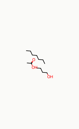 CC(=O)O.CCCCCCC.CCCCO